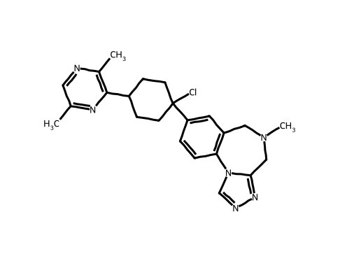 Cc1cnc(C)c(C2CCC(Cl)(c3ccc4c(c3)CN(C)Cc3nncn3-4)CC2)n1